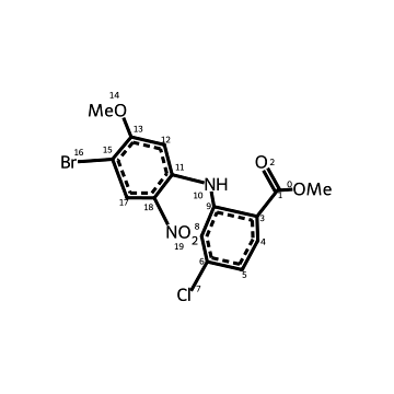 COC(=O)c1ccc(Cl)cc1Nc1cc(OC)c(Br)cc1[N+](=O)[O-]